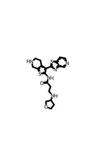 O=C(CCNC1CCOC1)Nc1sc2c(c1-c1nc3cnccc3s1)CCNC2